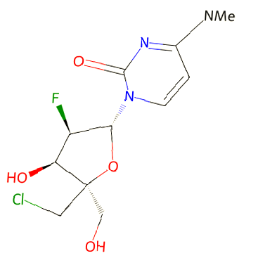 CNc1ccn([C@@H]2O[C@@](CO)(CCl)[C@@H](O)[C@H]2F)c(=O)n1